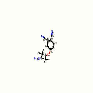 CC1(C)C(N)C(C)(C)C1Oc1ccc(C#N)c(C#N)c1